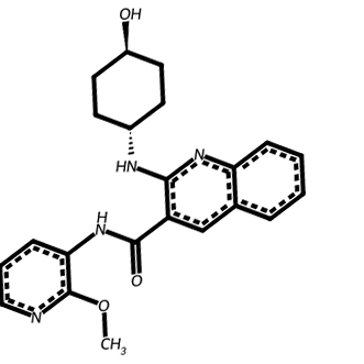 COc1ncccc1NC(=O)c1cc2ccccc2nc1N[C@H]1CC[C@H](O)CC1